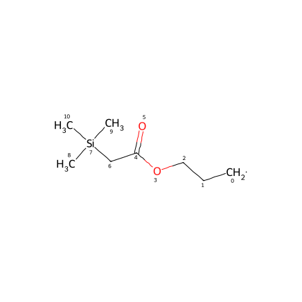 [CH2]CCOC(=O)C[Si](C)(C)C